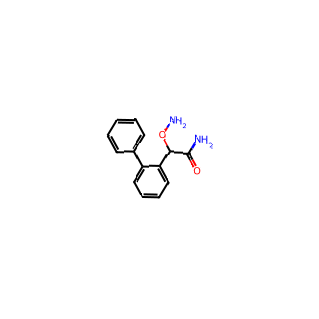 NOC(C(N)=O)c1ccccc1-c1ccccc1